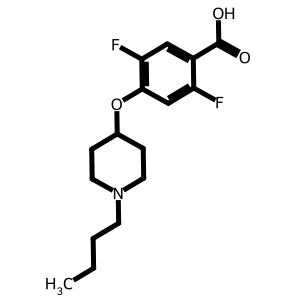 CCCCN1CCC(Oc2cc(F)c(C(=O)O)cc2F)CC1